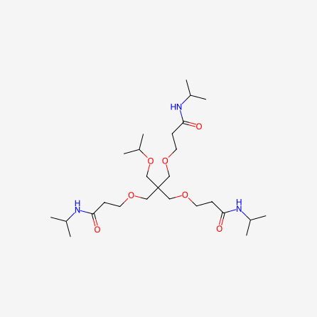 CC(C)NC(=O)CCOCC(COCCC(=O)NC(C)C)(COCCC(=O)NC(C)C)COC(C)C